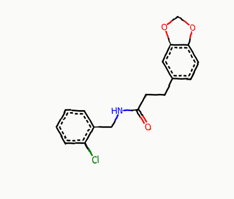 O=C(CCc1ccc2c(c1)OCO2)NCc1ccccc1Cl